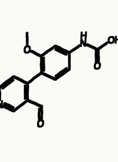 COc1cc(NC(=O)O)ccc1-c1ccncc1C=O